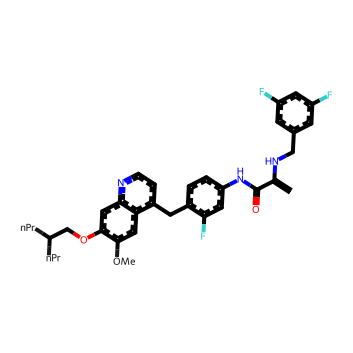 C=C(NCc1cc(F)cc(F)c1)C(=O)Nc1ccc(Cc2ccnc3cc(OCC(CCC)CCC)c(OC)cc23)c(F)c1